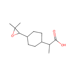 CC(C(=O)O)C1CCC(C2OC2(C)C)CC1